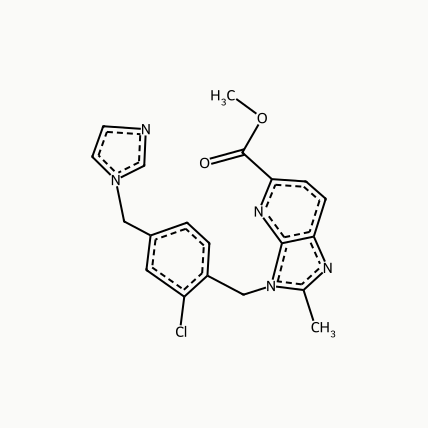 COC(=O)c1ccc2nc(C)n(Cc3ccc(Cn4ccnc4)cc3Cl)c2n1